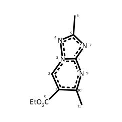 CCOC(=O)c1cn2nc(C)nc2nc1C